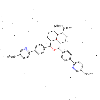 CCCCCCC[C@H]1CC[C@H](C(OC(c2ccc(-c3ccc(CCCCC)cn3)cc2)[C@H]2CC[C@H](CCCCCCC)CC2)c2ccc(-c3ccc(CCCCC)cn3)cc2)CC1